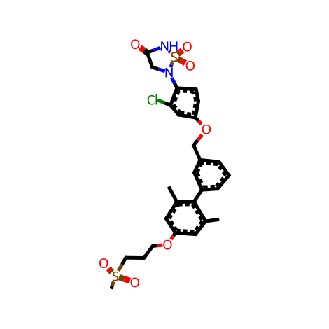 Cc1cc(OCCCS(C)(=O)=O)cc(C)c1-c1cccc(COc2ccc(N3CC(=O)NS3(=O)=O)c(Cl)c2)c1